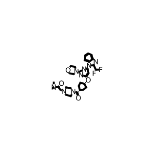 CN(C)C(=O)CN1CCN(C(=O)[C@H]2CC[C@H](Oc3cc(-n4c(C(F)F)nc5ccccc54)nc(N4CCOCC4)n3)CC2)CC1